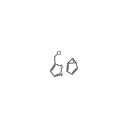 ClCc1ccns1.c1cc2cc-2c1